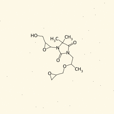 CC(CN1C(=O)N(C2OC2CO)C(C)(C)C1=O)OCC1CO1